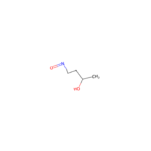 CC(O)CCN=O